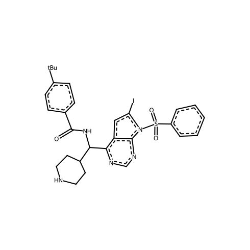 CC(C)(C)c1ccc(C(=O)NC(c2ncnc3c2cc(I)n3S(=O)(=O)c2ccccc2)C2CCNCC2)cc1